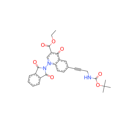 CCOC(=O)c1cn(N2C(=O)c3ccccc3C2=O)c2ccc(C#CCNC(=O)OC(C)(C)C)cc2c1=O